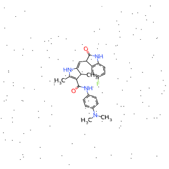 CC1=C(C(=O)Nc2ccc(N(C)C)cc2)C(C)C(=CC2C(=O)Nc3ccc(F)cc32)N1